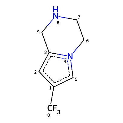 FC(F)(F)c1cc2n(c1)CCNC2